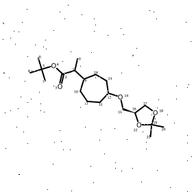 CC(C(=O)OC(C)(C)C)C1CCCC(OC[C@H]2COC(C)(C)O2)CC1